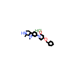 CC1NCCc2c1n(C)c1cc(-n3ccc(OCc4ccccc4)cc3=O)ccc21.Cl